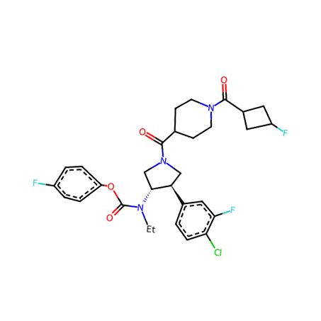 CCN(C(=O)Oc1ccc(F)cc1)[C@@H]1CN(C(=O)C2CCN(C(=O)C3CC(F)C3)CC2)C[C@H]1c1ccc(Cl)c(F)c1